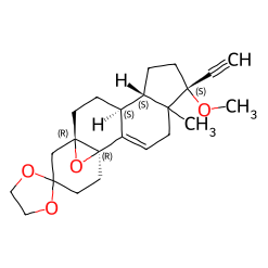 C#C[C@]1(OC)CC[C@H]2[C@@H]3CC[C@@]45CC6(CC[C@@]4(O5)C3=CCC21C)OCCO6